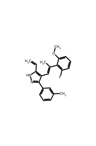 C=Cc1[nH]nc(-c2cccc(C)c2)c1/C=C(\C)c1c(F)cccc1OC